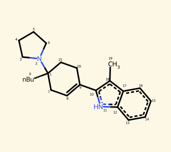 CCCCC1(N2CCCC2)CC=C(c2[nH]c3ccccc3c2C)CC1